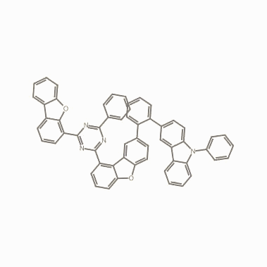 c1ccc(-c2nc(-c3cccc4c3oc3ccccc34)nc(-c3cccc4oc5ccc(-c6ccccc6-c6ccc7c(c6)c6ccccc6n7-c6ccccc6)cc5c34)n2)cc1